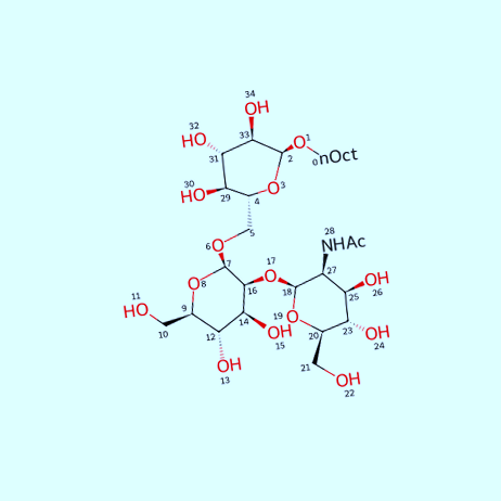 CCCCCCCCO[C@H]1O[C@H](CO[C@@H]2O[C@H](CO)[C@@H](O)[C@H](O)[C@@H]2O[C@@H]2O[C@H](CO)[C@@H](O)[C@H](O)[C@@H]2NC(C)=O)[C@@H](O)[C@H](O)[C@H]1O